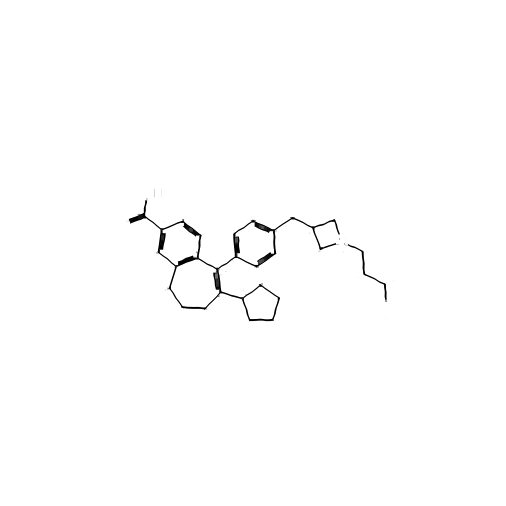 O=C(O)c1ccc2c(c1)CCCC(C1CCCC1)=C2c1ccc(CC2CN(CCCF)C2)cc1